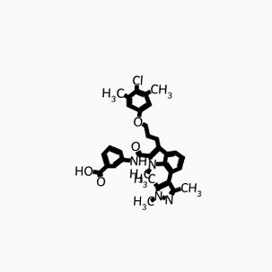 Cc1cc(OCCCc2c(C(=O)Nc3cccc(C(=O)O)c3)n(C)c3c(-c4c(C)nn(C)c4C)cccc23)cc(C)c1Cl